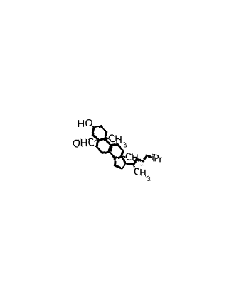 CC(C)CCC[C@@H](C)[C@H]1CCC2C3=C(CC[C@@]21C)[C@@]1(C)CC[C@H](O)C[C@]1(C=O)CC3